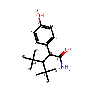 CC(C)(C)C(C(C(N)=O)c1ccc(O)cc1)C(C)(C)C